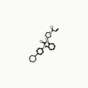 C=CC(=O)N1CC[C@H](n2c(=O)n(-c3ccc(C4CCCCC4)cc3)c3ccccc32)C1